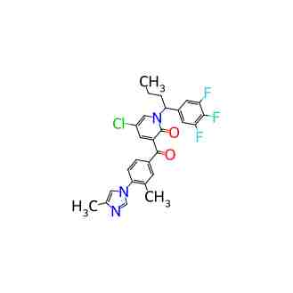 CCCC(c1cc(F)c(F)c(F)c1)n1cc(Cl)cc(C(=O)c2ccc(-n3cnc(C)c3)c(C)c2)c1=O